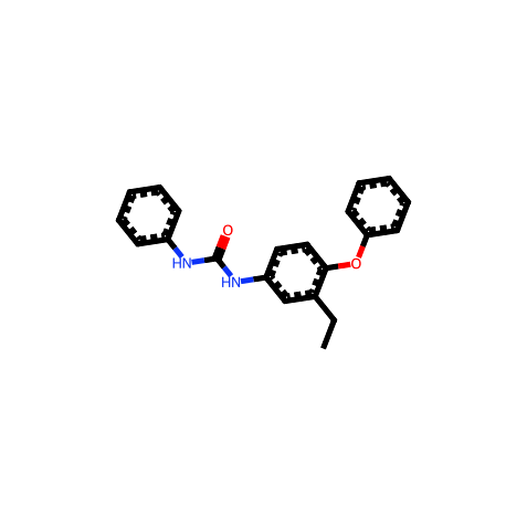 CCc1cc(NC(=O)Nc2ccccc2)ccc1Oc1ccccc1